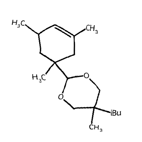 CCC(C)C1(C)COC(C2(C)CC(C)=CC(C)C2)OC1